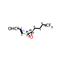 O=C/C=C/[C@H]1O[C@@H]1CCCC(F)(F)F